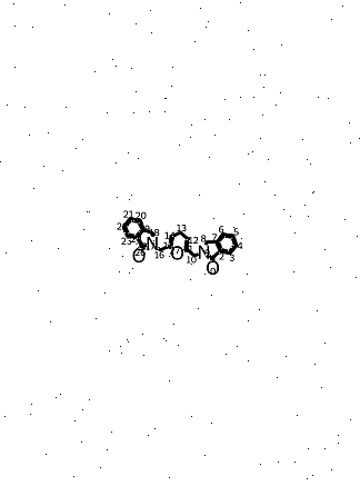 O=C1c2ccccc2CN1CC1=CCC=C(CN2Cc3ccccc3C2=O)O1